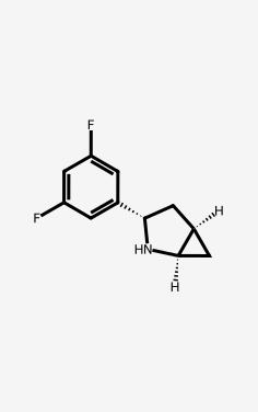 Fc1cc(F)cc([C@@H]2C[C@H]3C[C@H]3N2)c1